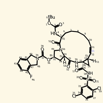 CC(C)(C)OC(=O)N[C@H]1CCCCC/C=C\[C@@H]2C[C@@]2(C(=O)NS(=O)(=O)c2cc(Cl)ccc2Cl)NC(=O)[C@@H]2C[C@@H](OC(=O)N3Cc4cccc(F)c4C3)CN2C1=O